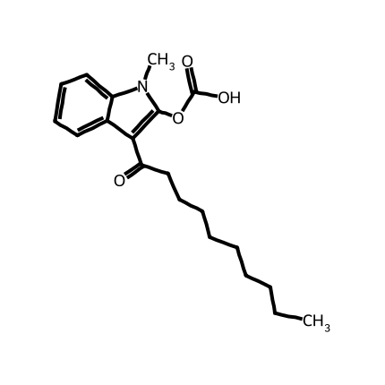 CCCCCCCCCC(=O)c1c(OC(=O)O)n(C)c2ccccc12